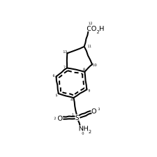 NS(=O)(=O)c1ccc2c(c1)CC(C(=O)O)C2